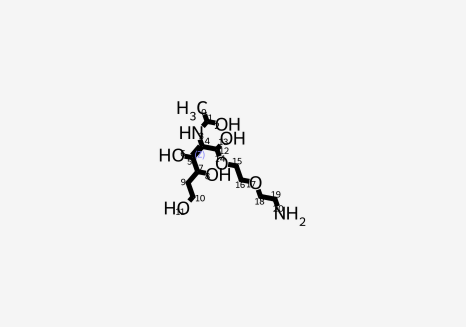 CC(O)N/C(=C(\O)C(O)CCO)C(O)OCCOCCN